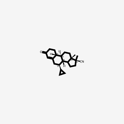 C[C@]1(C#N)CCC2[C@H]3[C@H](CC[C@@]21C)[C@H]1CCC(=O)C=C1C[C@@H]3C1CC1